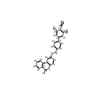 C[C@H](Cc1ccc(CCc2ccc(-c3cc(F)c(C#N)c(F)c3)cc2)cc1)c1ccccc1